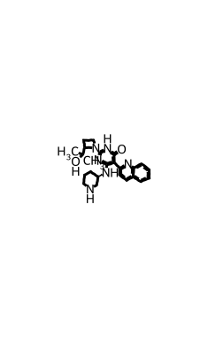 CC(C)(O)C1CCN1c1nc(N[C@@H]2CCCNC2)c(-c2ccc3ccccc3n2)c(=O)[nH]1